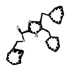 O=C(OCc1ccccc1)c1nc(Cc2ccccc2)c(Cc2ccccc2)[nH]1